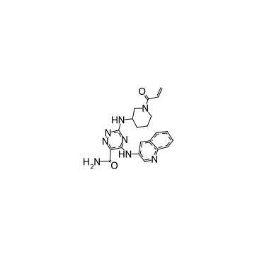 C=CC(=O)N1CCCC(Nc2nnc(C(N)=O)c(Nc3cnc4ccccc4c3)n2)C1